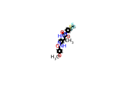 COc1ccc(C(=O)Nc2cc(C(C)C3NC(=O)N(c4ccc(SC(F)(F)F)cc4)C3=O)ccn2)cc1